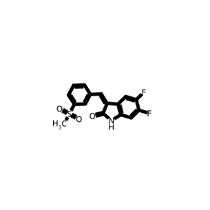 CS(=O)(=O)c1cccc(C=C2C(=O)Nc3cc(F)c(F)cc32)c1